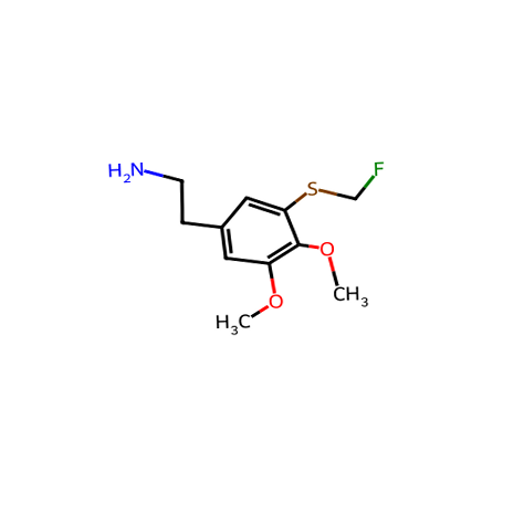 COc1cc(CCN)cc(SCF)c1OC